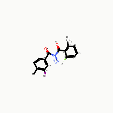 Cc1ccc(C(=O)N(N)C(=O)c2c(F)cccc2C(F)(F)F)cc1I